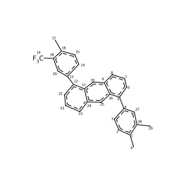 Cc1ccc(-c2cccc3cc4c(-c5ccc(C)c(C(F)(F)F)c5)cccc4cc23)cc1C